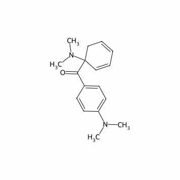 CN(C)c1ccc(C(=O)C2(N(C)C)C=CC=CC2)cc1